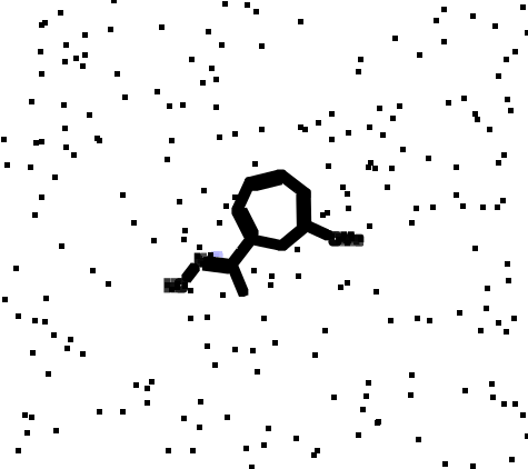 COC1=CC=CC=C(/C(C)=N/O)C1